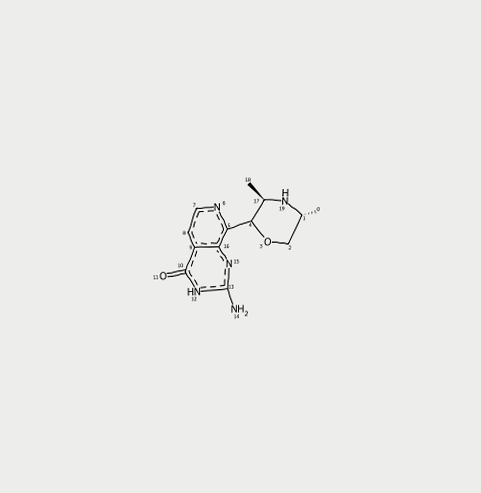 C[C@@H]1COC(c2nccc3c(=O)[nH]c(N)nc23)[C@@H](C)N1